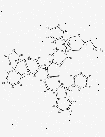 CCC1CC2CCCC(C1)C21c2ccccc2-c2cc(N(c3ccc4c(c3)-c3ccccc3C43CCCC3)c3ccc4c5ccccc5n(-c5ccccc5)c4c3)ccc21